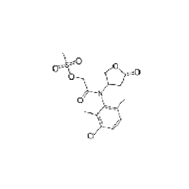 Cc1ccc(Cl)c(C)c1N(C(=O)COS(C)(=O)=O)C1COC(=O)C1